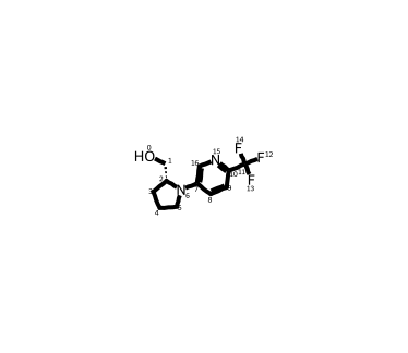 OC[C@H]1CCCN1c1ccc(C(F)(F)F)nc1